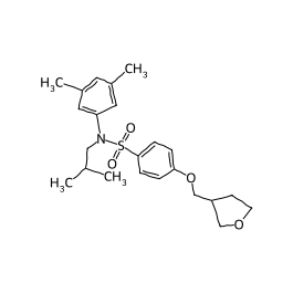 Cc1cc(C)cc(N(CC(C)C)S(=O)(=O)c2ccc(OCC3CCOC3)cc2)c1